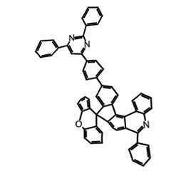 c1ccc(-c2cc(-c3ccc(-c4ccc5c(c4)C4(c6ccccc6Oc6ccccc64)c4ccc6c(-c7ccccc7)nc7ccccc7c6c4-5)cc3)nc(-c3ccccc3)n2)cc1